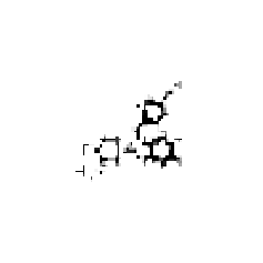 N#Cc1ccc(Cn2c(N3CC[C@@H](F)[C@H](N)C3)nc3cc(F)ccc32)nc1